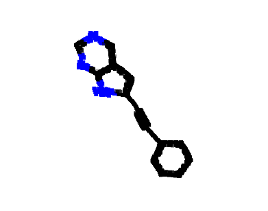 C(#Cc1cc2cncnc2[nH]1)c1ccccc1